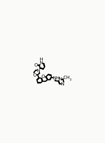 Cc1cncc(CNc2ccc3c(c2)Cc2cccc(C4CN(c5ccc[nH]c5=O)CCO4)c2O3)n1